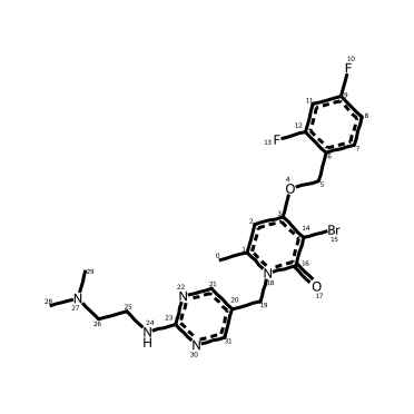 Cc1cc(OCc2ccc(F)cc2F)c(Br)c(=O)n1Cc1cnc(NCCN(C)C)nc1